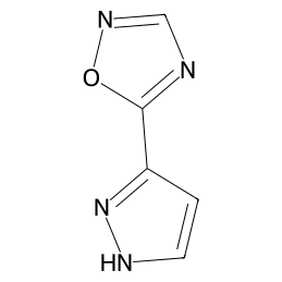 c1noc(-c2cc[nH]n2)n1